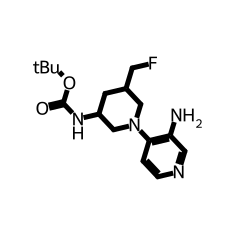 CC(C)(C)OC(=O)NC1CC(CF)CN(c2ccncc2N)C1